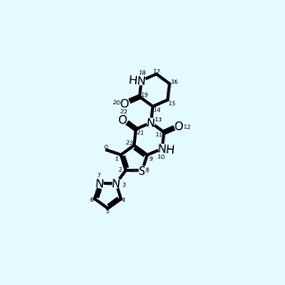 Cc1c(-n2cccn2)sc2[nH]c(=O)n(C3CCCNC3=O)c(=O)c12